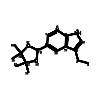 CCc1c[nH]c2ncc(B3OC(C)(C)C(C)(C)O3)cc12